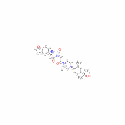 CCCc1cc(C(O)(C(F)(F)F)C(F)(F)F)ccc1N1CCN(C(=O)CN2C(=O)NC(C)(c3ccc4c(c3)CCO4)C2=O)[C@@H](C)C1